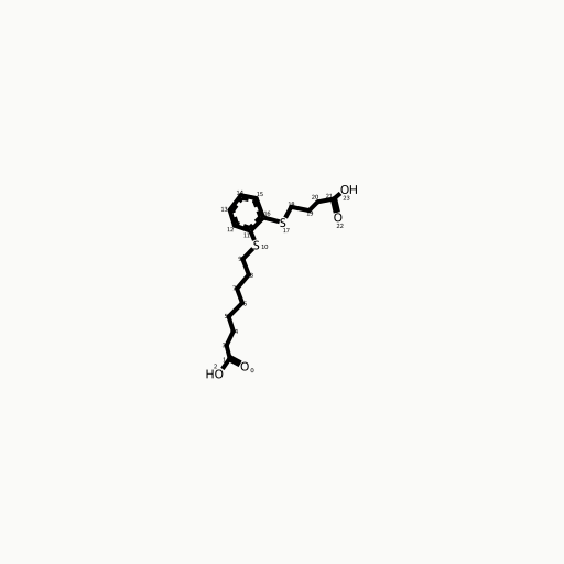 O=C(O)CCCCCCCSc1ccccc1SCCCC(=O)O